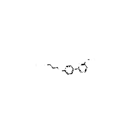 CCCOc1cccc(-c2ccc(SCCCC(=O)O)cc2)n1